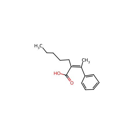 CCCCCC(C(=O)O)=C(C)c1ccccc1